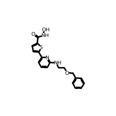 O=C(NO)c1ccc(-c2cccc(NCCOCc3ccccc3)n2)s1